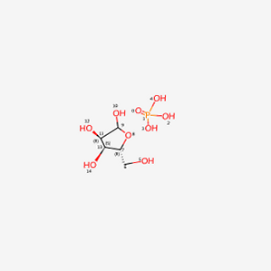 O=P(O)(O)O.OC[C@H]1OC(O)[C@H](O)[C@@H]1O